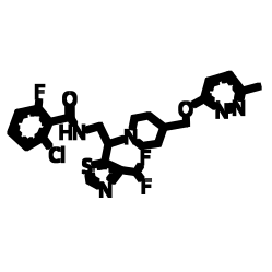 Cc1ccc(OCC2CCN(C(CNC(=O)c3c(F)cccc3Cl)c3scnc3C(F)F)CC2)nn1